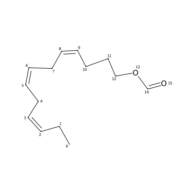 CC/C=C\C/C=C\C/C=C\CCCOC=O